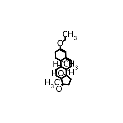 CCOC1=CC2=CC[C@@H]3[C@H](CC[C@]4(C)C(=O)CC[C@@]34O)[C@@]2(C)CC1